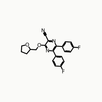 N#Cc1nc(-c2ccc(F)cc2)c(-c2ccc(F)cc2)nc1OCC1CCCO1